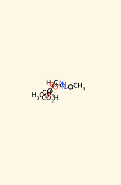 Cc1ccc(Cn2cc(C(C)OC(=O)c3ccc(OC(C)(C)C(=O)O)cc3)nn2)cc1